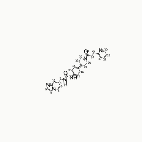 O=C(NCc1ccn2ccnc2c1)Nc1ccc(C2CCN(C(=O)C=Cc3ccccn3)CC2)cc1